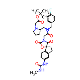 CNC(=O)Nc1ccc2c(c1)CC[C@@]21OC(=O)N(CC(=O)N(Cc2ccc(F)cc2)CC2CCCN2CC(=O)OC(C)(C)C)C1=O